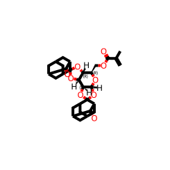 C=C(C)C(=O)OC[C@H]1O[C@@H]2OC3(O[C@H]2[C@H]2OC4(O[C@@H]21)C1CC2CC(C1)C(=O)C4C2)C1CC2CC(C1)C(=O)C3C2